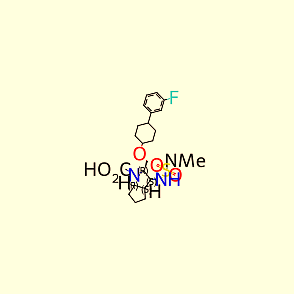 CNS(=O)(=O)N[C@H]1[C@H]2CCC[C@H]2N(C(=O)O)[C@H]1COC1CCC(c2cccc(F)c2)CC1